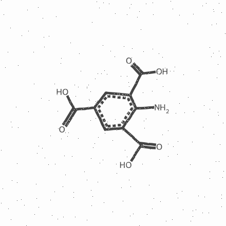 Nc1c(C(=O)O)cc(C(=O)O)cc1C(=O)O